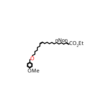 CCCCCCCCC/C(=C\C(=O)OCC)CCCCCCCCC/C=C\CCCCCCOCc1ccc(OC)cc1